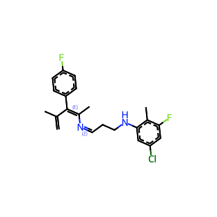 C=C(C)/C(=C(C)\N=C/CCNc1cc(Cl)cc(F)c1C)c1ccc(F)cc1